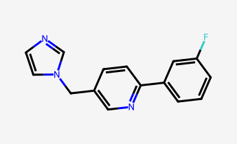 Fc1cccc(-c2ccc(Cn3ccnc3)cn2)c1